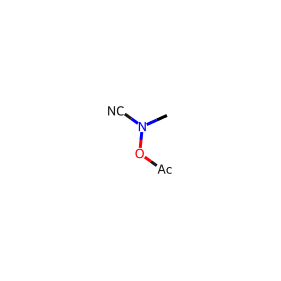 CC(=O)ON(C)C#N